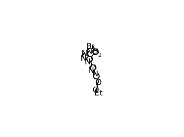 CCOCCOC1CCN(c2ccc(-c3cc(-c4cccc(Br)c4)c4c(N)ncnc4n3)cn2)CC1